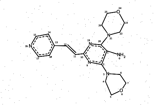 Nc1c(N2CCOCC2)nc(C=Cc2ccncc2)nc1N1CCOCC1